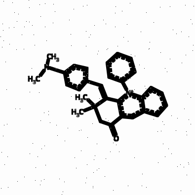 CN(C)c1ccc(C=C2c3c(cc4ccccc4[n+]3-c3ccccc3)C(=O)CC2(C)C)cc1